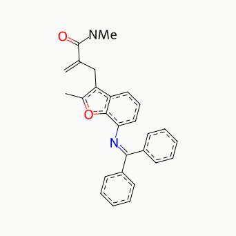 C=C(Cc1c(C)oc2c(N=C(c3ccccc3)c3ccccc3)cccc12)C(=O)NC